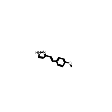 COc1ccc(C=Cc2cc[nH]n2)cc1